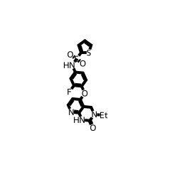 CCN1Cc2c(Oc3ccc(NS(=O)(=O)c4cccs4)cc3F)ccnc2NC1=O